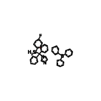 Fc1ccc([SiH2]C(c2ccccc2)(c2ccccc2)n2ccnc2)cc1.c1ccc(B(c2ccccc2)c2ccccc2)cc1